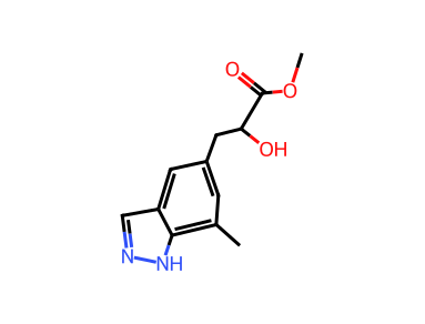 COC(=O)C(O)Cc1cc(C)c2[nH]ncc2c1